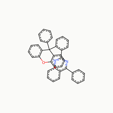 c1ccc(-c2nc(-c3ccccc3C3(c4ccccc4)c4ccccc4Oc4ccccc43)nc3ccccc23)cc1